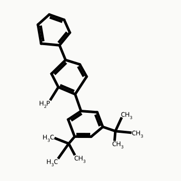 CC(C)(C)c1cc(-c2ccc(-c3ccccc3)cc2P)cc(C(C)(C)C)c1